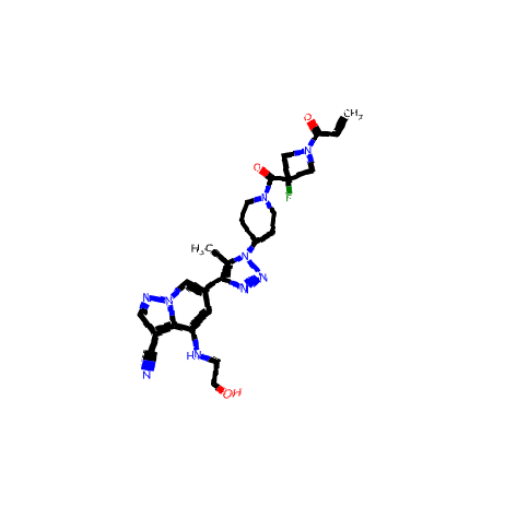 C=CC(=O)N1CC(F)(C(=O)N2CCC(n3nnc(-c4cc(NCCO)c5c(C#N)cnn5c4)c3C)CC2)C1